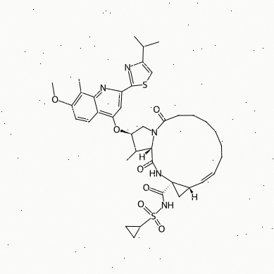 COc1ccc2c(O[C@H]3CN4C(=O)CCCCCC/C=C\[C@@H]5C[C@@]5(C(=O)NS(=O)(=O)C5CC5)NC(=O)[C@@H]4C3C)cc(-c3nc(C(C)C)cs3)nc2c1C